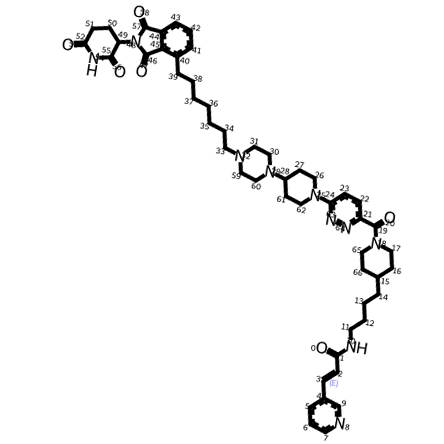 O=C(/C=C/c1cccnc1)NCCCCC1CCN(C(=O)c2ccc(N3CCC(N4CCN(CCCCCCCc5cccc6c5C(=O)N(C5CCC(=O)NC5=O)C6=O)CC4)CC3)nn2)CC1